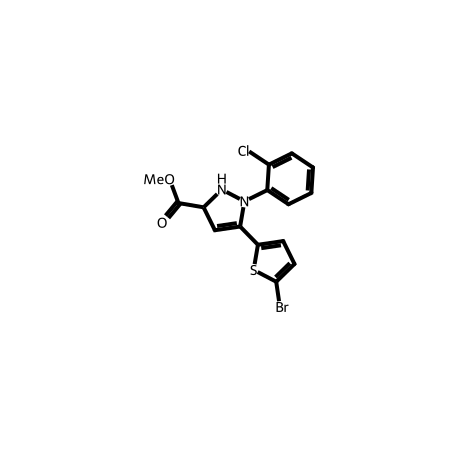 COC(=O)C1C=C(c2ccc(Br)s2)N(c2ccccc2Cl)N1